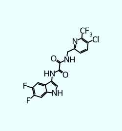 O=C(NCc1ccc(Cl)c(C(F)(F)F)n1)C(=O)Nc1c[nH]c2cc(F)c(F)cc12